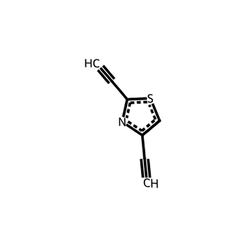 C#Cc1csc(C#C)n1